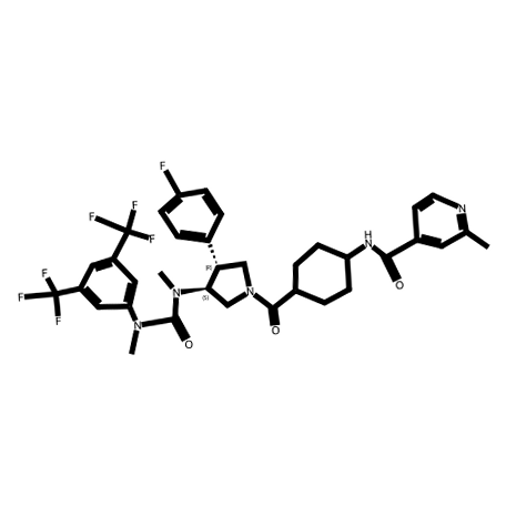 Cc1cc(C(=O)NC2CCC(C(=O)N3C[C@@H](N(C)C(=O)N(C)c4cc(C(F)(F)F)cc(C(F)(F)F)c4)[C@H](c4ccc(F)cc4)C3)CC2)ccn1